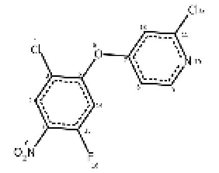 O=[N+]([O-])c1cc(Cl)c(Oc2ccnc(Cl)c2)cc1F